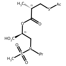 CC(=O)SC[C@@H](C)C(=O)O[C@@H](CN(C(C)C)S(C)(=O)=O)C(=O)O